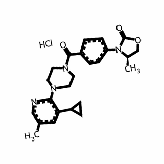 Cc1cnc(N2CCN(C(=O)c3ccc(N4C(=O)OC[C@H]4C)cc3)CC2)c(C2CC2)c1.Cl